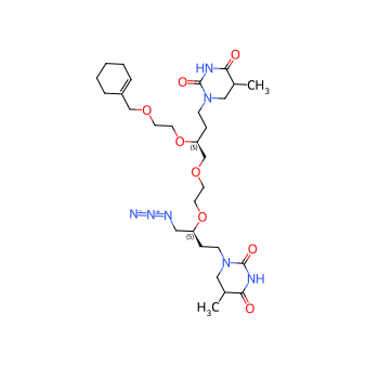 CC1CN(CC[C@@H](CN=[N+]=[N-])OCCOC[C@H](CCN2CC(C)C(=O)NC2=O)OCCOCC2=CCCCC2)C(=O)NC1=O